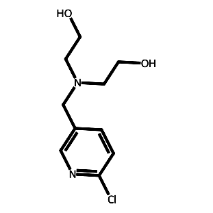 OCCN(CCO)Cc1ccc(Cl)nc1